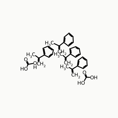 C=C(C)c1ccccc1.C=C(C)c1ccccc1.C=C(C)c1ccccc1.C=C(C)c1ccccc1.O=C(O)O.O=C(O)O